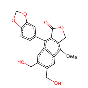 COc1c2c(c(-c3ccc4c(c3)OCO4)c3cc(CO)c(CO)cc13)C(=O)OC2